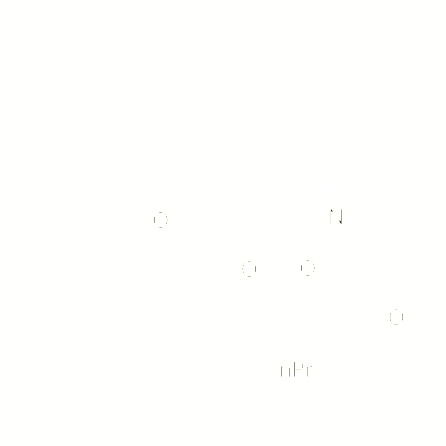 CCCC(=O)O/N=C(/C)c1cc2ccccc2oc1=O